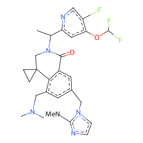 CNc1nccn1Cc1cc(CN(C)C)c2c(c1)C(=O)N(C(C)c1cc(OC(F)F)c(F)cn1)CC21CC1